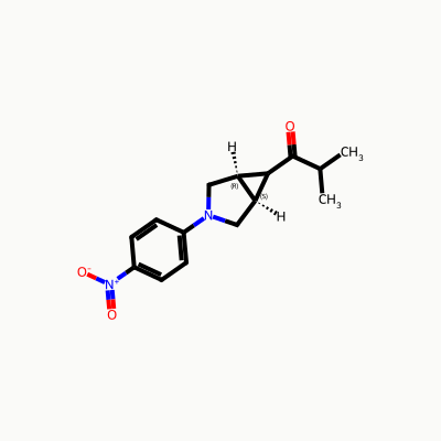 CC(C)C(=O)C1[C@H]2CN(c3ccc([N+](=O)[O-])cc3)C[C@@H]12